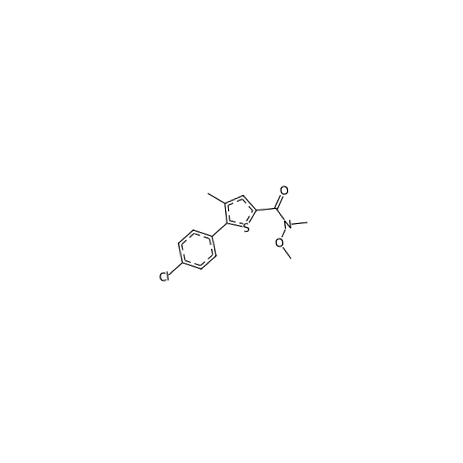 CON(C)C(=O)c1cc(C)c(-c2ccc(Cl)cc2)s1